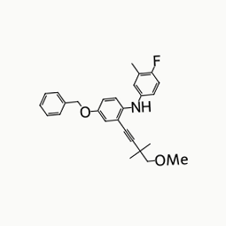 COCC(C)(C)C#Cc1cc(OCc2ccccc2)ccc1Nc1ccc(F)c(C)c1